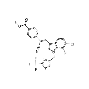 N#C/C(=C\c1cn(Cc2cnc(C(F)(F)F)s2)c2c(F)c(Cl)ccc12)c1ccc(C(=O)OI)cc1